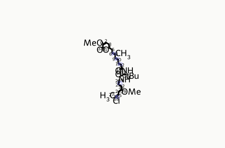 COC1=CCC(C/C=C(C)/C=C/C=C/C(=O)NC(C(=O)N/C=C\CC(C/C=C(\C)Cl)OC)C(C)(C)C)OC1=O